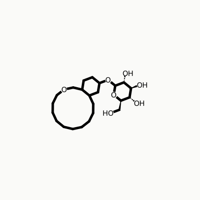 OC[C@H]1OC(OC2CCC3COCCCCCCCCCCC3C2)[C@H](O)[C@@H](O)[C@@H]1O